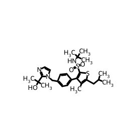 Cc1c(CC(C)C)sc(S(=O)(=O)NC(C)(C)C)c1-c1ccc(Cn2ccnc2C(C)(C)O)cc1